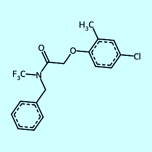 Cc1cc(Cl)ccc1OCC(=O)N(Cc1ccccc1)C(F)(F)F